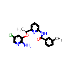 Cc1cccc(C(=O)Nc2cccc([C@@H](C)Oc3cc(Cl)cnc3N)n2)c1